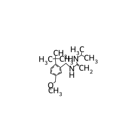 C=C(NCc1cc(COC)ccc1C(C)(C)C)NC(C)C